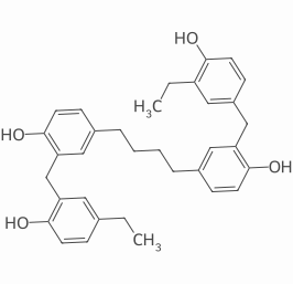 CCc1ccc(O)c(Cc2cc(CCCCc3ccc(O)c(Cc4ccc(O)c(CC)c4)c3)ccc2O)c1